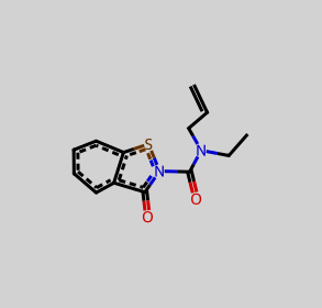 C=CCN(CC)C(=O)n1sc2ccccc2c1=O